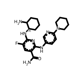 NC(=O)c1cc(F)c(N[C@@H]2CCCCC2N)nc1Nc1ccc(N2CCCCC2)nc1